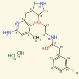 Cc1cc(N)nc(CC2CNCC2OCCNC(=O)Cc2cccc(F)c2)c1.Cl.Cl